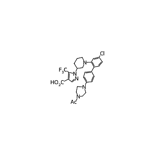 CC(=O)N1CCN(c2ccc(-c3ccc(Cl)cc3N3CCCC(n4ncc(C(=O)O)c4C(F)(F)F)C3)cc2)CC1